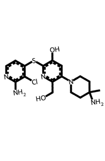 CC1(N)CCN(c2cc(O)c(Sc3ccnc(N)c3Cl)nc2CO)CC1